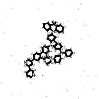 CC1(C)c2ccccc2N(c2ccc3c(c2)c2ccc(N(c4ccccc4)c4ccccc4)cc2n3-c2ccc3c4ccc(-c5cncc(-c6cccnc6)c5)cc4c4nccnc4c3c2)c2ccccc21